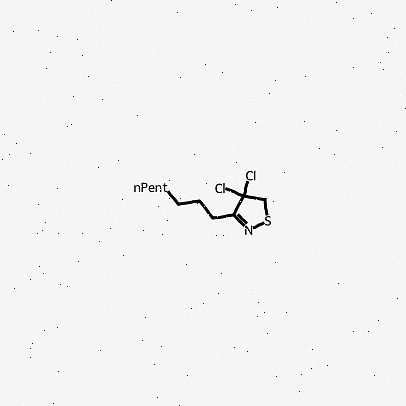 CCCCCCCCC1=NSCC1(Cl)Cl